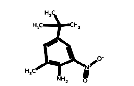 Cc1cc(C(C)(C)C)cc([N+](=O)[O-])c1N